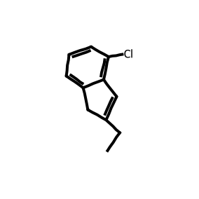 CCC1=Cc2c(Cl)cccc2C1